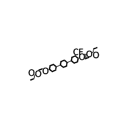 C=CC(=O)O/C=C\Oc1ccc(-c2ccc(-c3ccc(O/C=C\OC(=O)C=C)c(C(F)(F)F)c3)cc2)cc1